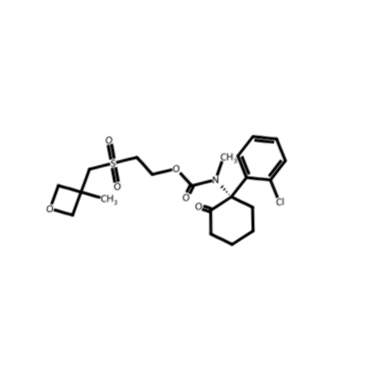 CN(C(=O)OCCS(=O)(=O)CC1(C)COC1)[C@]1(c2ccccc2Cl)CCCCC1=O